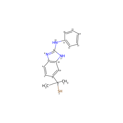 CC(C)(S)c1ccc2nc(Nc3ccccc3)[nH]c2c1